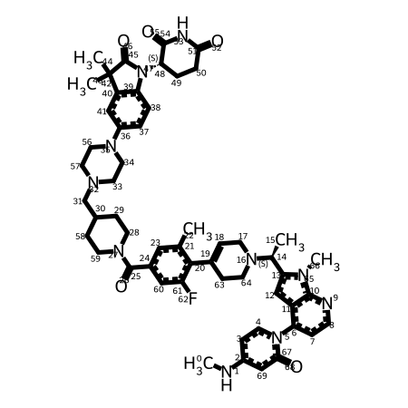 CNc1ccn(-c2ccnc3c2cc([C@H](C)N2CC=C(c4c(C)cc(C(=O)N5CCC(CN6CCN(c7ccc8c(c7)C(C)(C)C(=O)N8[C@H]7CCC(=O)NC7=O)CC6)CC5)cc4F)CC2)n3C)c(=O)c1